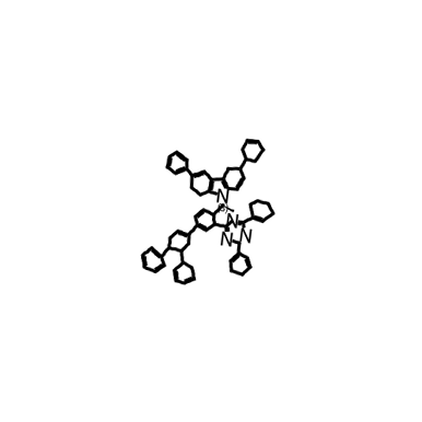 C[C@@H](C1C=CC(C2=CCC(c3ccccc3)C(C3C=CC=CC3)C2)=CC1c1nc(C2=CCCC=C2)nc(C2=CCCCC2)n1)n1c2c(c3c1CCC(c1ccccc1)=C3)CC(C1CC=CCC1)C=C2